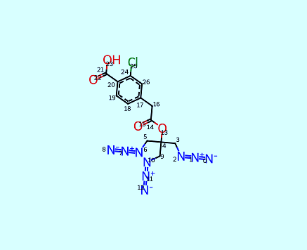 [N-]=[N+]=NCC(CN=[N+]=[N-])(CN=[N+]=[N-])OC(=O)Cc1ccc(C(=O)O)c(Cl)c1